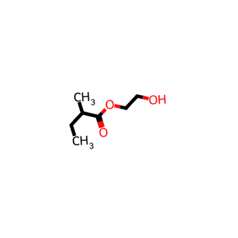 CCC(C)C(=O)OCCO